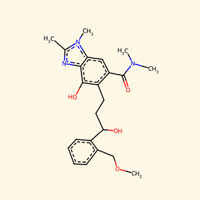 COCc1ccccc1C(O)CCc1c(C(=O)N(C)C)cc2c(nc(C)n2C)c1O